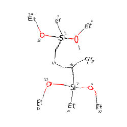 CCO[Si](CC)(CC(C)[Si](CC)(OCC)OCC)OCC